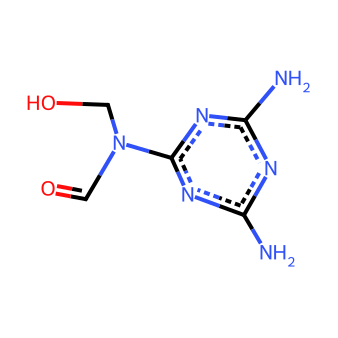 Nc1nc(N)nc(N(C=O)CO)n1